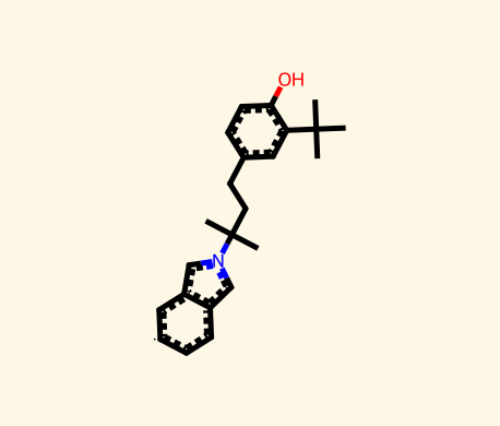 CC(C)(C)c1cc(CCC(C)(C)n2cc3c[c]ccc3c2)ccc1O